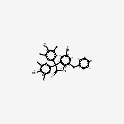 Cc1cc(C2(c3cc(C)c(O)c(C)c3)C(=O)Nc3c(Cc4ccccc4)cc(Br)cc32)cc(C)c1O